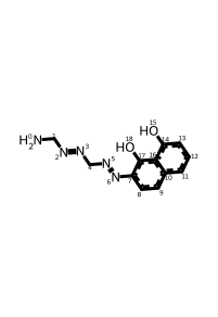 NCN=NCN=Nc1ccc2cccc(O)c2c1O